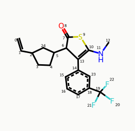 C=CC1CCC(C2C(=O)SC(NC)=C2c2cccc(C(F)(F)F)c2)C1